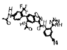 CC(=O)Nc1ccc(-c2cc3onc(C(=O)Nc4ccc(C#N)cc4-c4nnn[nH]4)c3cc2NC(C)=O)c(C(F)(F)F)c1